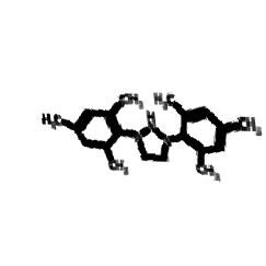 Cc1cc(C)c(N2[C]CN(c3c(C)cc(C)cc3C)N2)c(C)c1